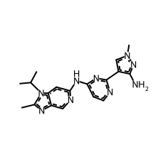 Cc1nc2cnc(Nc3ccnc(-c4cn(C)nc4N)n3)cc2n1C(C)C